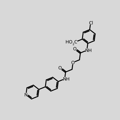 O=C(COCC(=O)Nc1ccc(Cl)cc1C(=O)O)Nc1ccc(-c2ccncc2)cc1